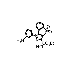 CCOC(=O)c1nn(-c2cccc(N)c2)c2c1CS(=O)(=O)c1ccccc1-2.Cl